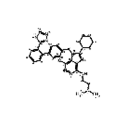 CN(C)CCNc1nnc(O)c2c1nc(C1CCCCC1)n2Cc1ccc(-c2ccccc2-c2nnn[nH]2)cc1